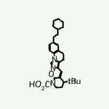 CC(C)(C)C1CCN(C(=O)O)C(=O)C1=Cc1ncn2c1CCc1cc(CCC3CCCCC3)ccc1-2